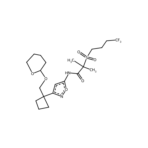 CC(C)(C(=O)Nc1cc(C2(COC3CCCCO3)CCC2)no1)S(=O)(=O)CCCC(F)(F)F